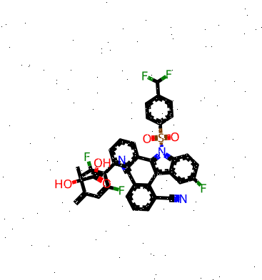 C=C(/C=C(F)\C(=C(/C)F)c1cccc(-c2c(-c3c(C#N)cccc3C#N)c3cc(F)ccc3n2S(=O)(=O)c2ccc(C(F)F)cc2)c1)C(C)(O)C(=O)O